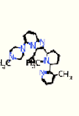 Cc1cccnc1[C@@H]1CCC[C@H](c2nc3cccc(N4CCN(C)CC4)n3c2C2CC2)N1C